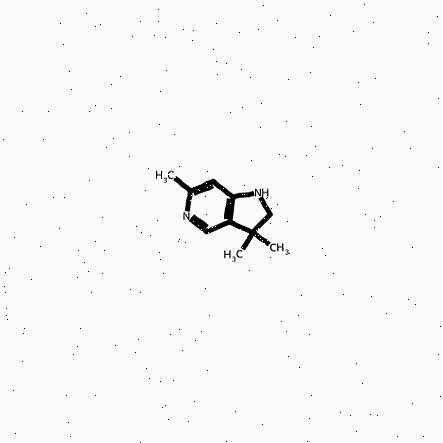 Cc1cc2c(cn1)C(C)(C)CN2